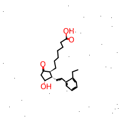 CCc1ccccc1C=C[C@@H]1[C@H](O)CC(=O)[C@H]1CCCCCCC(=O)O